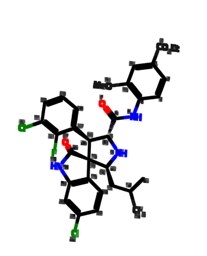 CCOC(=O)c1ccc(NC(=O)[C@@H]2N[C@@H](CC(C)C(F)(F)F)[C@@]3(C(=O)Nc4cc(Cl)ccc43)[C@H]2c2cccc(Cl)c2F)c(OC)c1